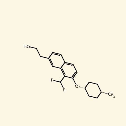 OCCc1ccc2ccc(O[C@H]3CC[C@@H](C(F)(F)F)CC3)c(C(F)F)c2c1